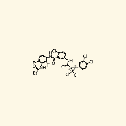 CCC(=O)Nc1c(F)ccc(NC(=O)c2cc(NC(=O)[C@H]3[C@H](c4ccc(Cl)c(Cl)c4)C3(Cl)Cl)ccc2Cl)c1F